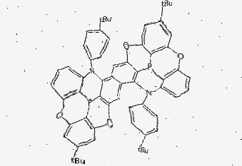 CC(C)(C)c1ccc(-n2c3cccc4oc5cc(C(C)(C)C)cc6oc7cc8c(cc9oc%10cc(C(C)(C)C)cc%11oc%12cccc%13c%12p(c%11%10)c9c8n%13-c8ccc(C(C)(C)C)cc8)c2c7p(c56)c43)cc1